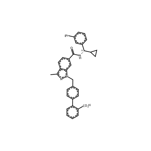 Cc1nn(Cc2ccc(-c3ccccc3C(=O)O)cc2)c2cc(C(=O)N[C@H](c3cccc(C(C)C)c3)C3CC3)ccc12